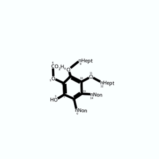 CCCCCCCCCc1c(O)c(OC(=O)O)c(OCCCCCCC)c(OCCCCCCC)c1CCCCCCCCC